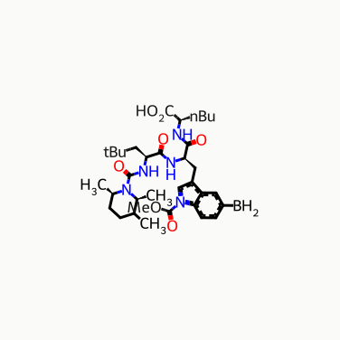 Bc1ccc2c(c1)c(C[C@@H](NC(=O)[C@H](CC(C)(C)C)NC(=O)N1[C@H](C)CCC(C)[C@@H]1C)C(=O)N[C@H](CCCC)C(=O)O)cn2C(=O)OC